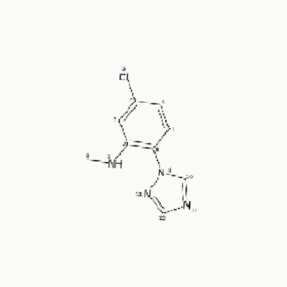 CNc1cc(Cl)ccc1-n1cncn1